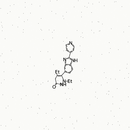 CCC1=C(c2ccc3[nH]c(-c4ccncc4)nc3c2)N(CC)NC(=O)C1